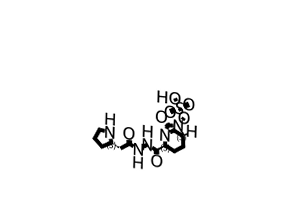 O=C(C[C@@H]1CCCN1)NNC(=O)[C@@H]1CC[C@H]2CN1C(=O)N2OS(=O)(=O)O